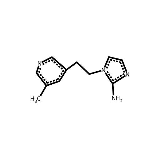 Cc1cncc(CCn2ccnc2N)c1